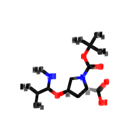 CNC(O[C@@H]1C[C@@H](C(=O)O)N(C(=O)OC(C)(C)C)C1)C(C)C